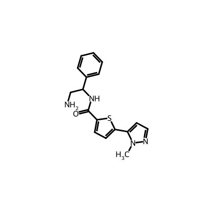 Cn1nccc1-c1ccc(C(=O)NC(CN)c2ccccc2)s1